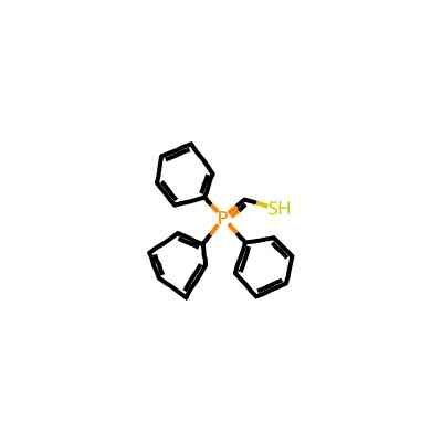 SC=P(c1ccccc1)(c1ccccc1)c1ccccc1